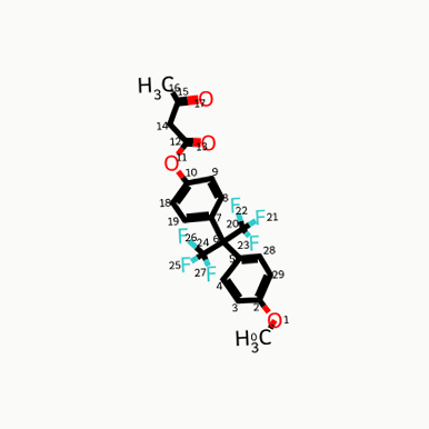 COc1ccc(C(c2ccc(OC(=O)CC(C)=O)cc2)(C(F)(F)F)C(F)(F)F)cc1